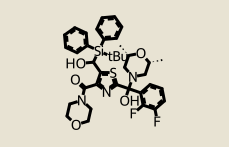 C[C@@H]1CN(C(O)(c2nc(C(=O)N3CCOCC3)c(C(O)[Si](c3ccccc3)(c3ccccc3)C(C)(C)C)s2)c2cccc(F)c2F)C[C@H](C)O1